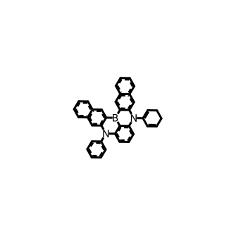 C1=CC(N2c3cc4ccccc4cc3B3c4cc5ccccc5cc4N(c4ccccc4)c4cccc2c43)=CCC1